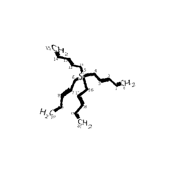 C=CC=CC[Si](CC=CC=C)(CC=CC=C)CC=CC=C